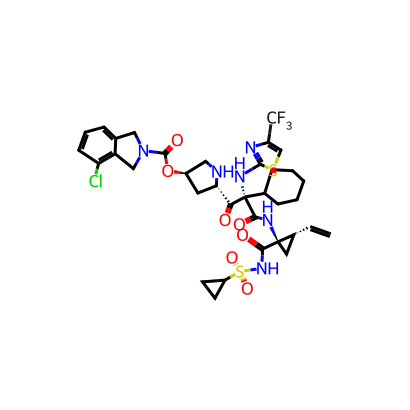 C=C[C@@H]1C[C@]1(NC(=O)[C@@](Nc1nc(C(F)(F)F)cs1)(C(=O)[C@@H]1C[C@@H](OC(=O)N2Cc3cccc(Cl)c3C2)CN1)C1CCCCC1)C(=O)NS(=O)(=O)C1CC1